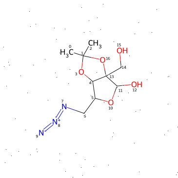 CC1(C)OC2C(CN=[N+]=[N-])OC(O)C2(CO)O1